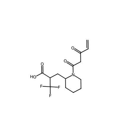 C=CC(=O)CC(=O)N1CCCCC1CC(C(=O)O)C(F)(F)F